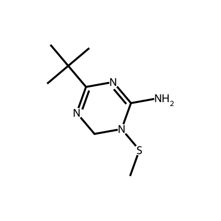 CSN1CN=C(C(C)(C)C)N=C1N